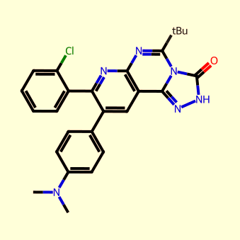 CN(C)c1ccc(-c2cc3c(nc2-c2ccccc2Cl)nc(C(C)(C)C)n2c(=O)[nH]nc32)cc1